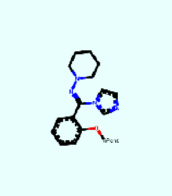 CCCCCOc1ccccc1C(=NN1CCCCC1)n1ccnc1